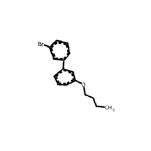 CCCCOc1cccc(-c2cccc(Br)c2)c1